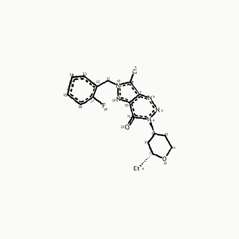 CC[C@@H]1C[C@@H](n2nnc3c(Cl)n(Cc4ccccc4F)nc3c2=O)CCO1